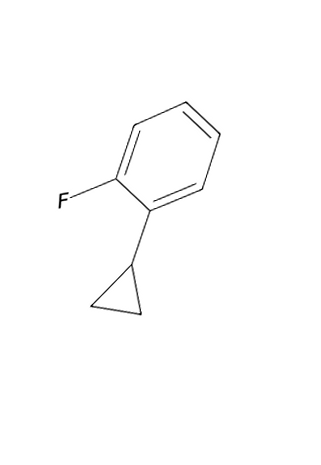 Fc1ccccc1C1CC1